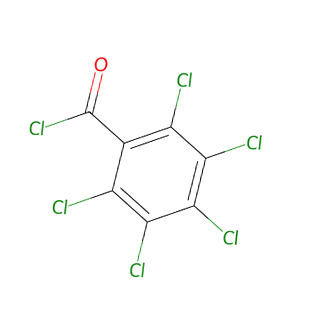 O=C(Cl)c1c(Cl)c(Cl)c(Cl)c(Cl)c1Cl